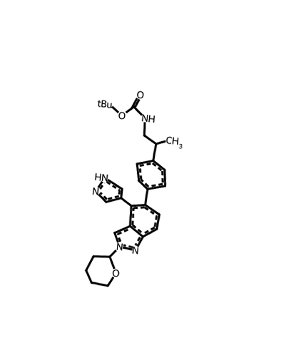 CC(CNC(=O)OC(C)(C)C)c1ccc(-c2ccc3nn(C4CCCCO4)cc3c2-c2cn[nH]c2)cc1